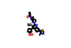 C=CC(=O)N1CC2(CCN(c3nc4c(c(-c5cccc(O)c5)c3C#N)CCC(c3scnc3C)=C4)C2)C1